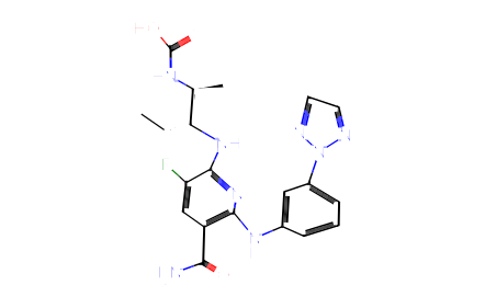 CC[C@@H](Nc1nc(Nc2cccc(-n3nccn3)c2)c(C(N)=O)cc1F)[C@H](C)NC(=O)O